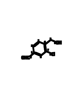 O=Cc1ccc(CO)c(Cl)c1